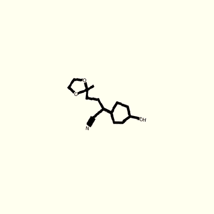 CC1(CCC(C#N)C2CCC(O)CC2)OCCO1